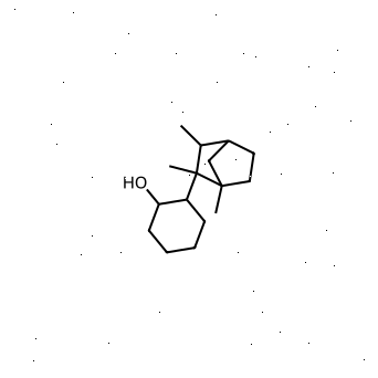 CC1C2CCC(C)(C2)C1(C)C1CCCCC1O